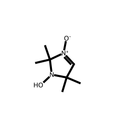 CC1(C)C=[N+]([O-])C(C)(C)N1O